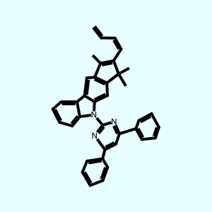 C=C/C=C\C1=C(C)c2cc3c4ccccc4n(-c4nc(-c5ccccc5)cc(-c5ccccc5)n4)c3cc2C1(C)C